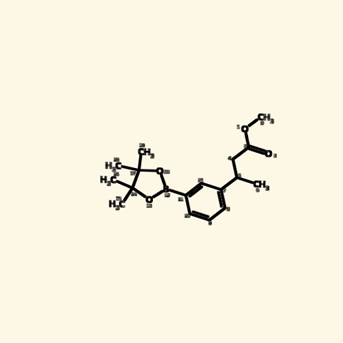 COC(=O)CC(C)c1cccc(B2OC(C)(C)C(C)(C)O2)c1